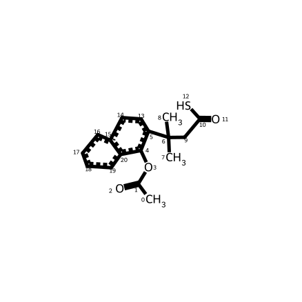 CC(=O)Oc1c(C(C)(C)CC(=O)S)ccc2ccccc12